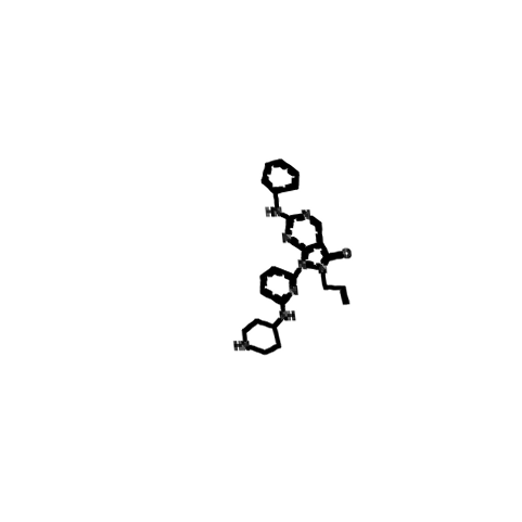 C=CCn1c(=O)c2cnc(Nc3ccccc3)nc2n1-c1cccc(NC2CCNCC2)n1